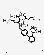 CCCC(=O)n1c(C(=O)O)c(CCC)n(Cc2ccc(-c3ccccc3-c3nnn[nH]3)cc2)c1=O